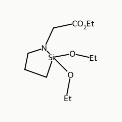 CCOC(=O)CN1CCC[Si]1(OCC)OCC